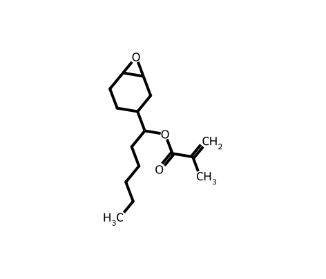 C=C(C)C(=O)OC(CCCCC)C1CCC2OC2C1